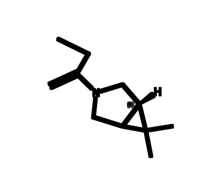 C=C(CC)N1CC2[C@H](C1)C2(C)C